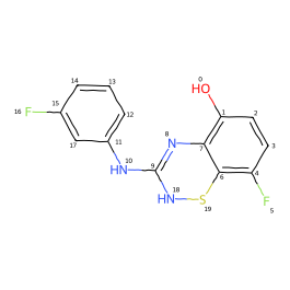 Oc1ccc(F)c2c1N=C(Nc1cccc(F)c1)NS2